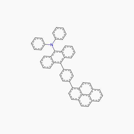 c1ccc(N(c2ccccc2)c2c3ccccc3c(-c3ccc(-c4ccc5ccc6cccc7ccc4c5c67)cc3)c3ccccc23)cc1